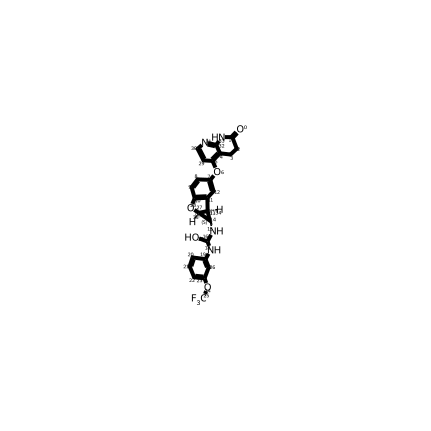 O=C1CCc2c(Oc3ccc4c(c3)[C@H]3[C@H](NC(O)Nc5cccc(OC(F)(F)F)c5)[C@H]3O4)ccnc2N1